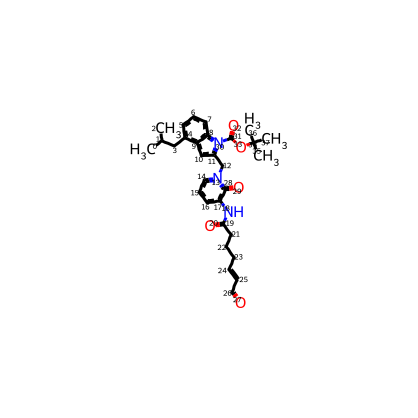 CC(C)Cc1cccc2c1cc(Cn1cccc(NC(=O)CCC/C=C/C=O)c1=O)n2C(=O)OC(C)(C)C